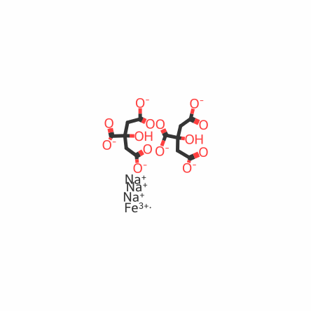 O=C([O-])CC(O)(CC(=O)[O-])C(=O)[O-].O=C([O-])CC(O)(CC(=O)[O-])C(=O)[O-].[Fe+3].[Na+].[Na+].[Na+]